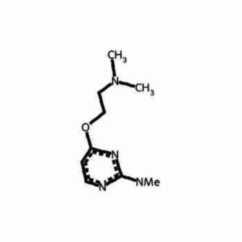 CNc1nccc(OCCN(C)C)n1